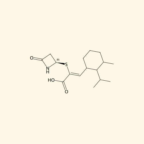 CC(C)C1C(C)CCCC1C=C(S[C@@H]1CC(=O)N1)C(=O)O